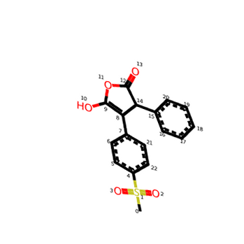 CS(=O)(=O)c1ccc(C2=C(O)OC(=O)C2c2ccccc2)cc1